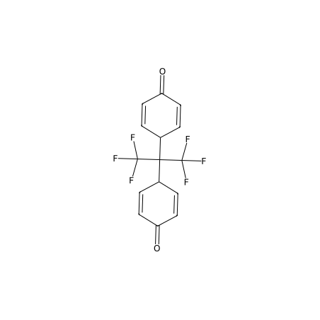 O=C1C=CC(C(C2C=CC(=O)C=C2)(C(F)(F)F)C(F)(F)F)C=C1